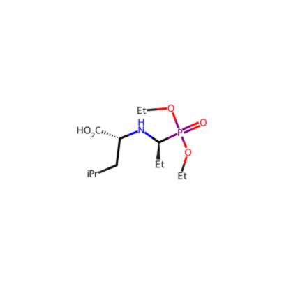 CCOP(=O)(OCC)[C@@H](CC)N[C@H](CC(C)C)C(=O)O